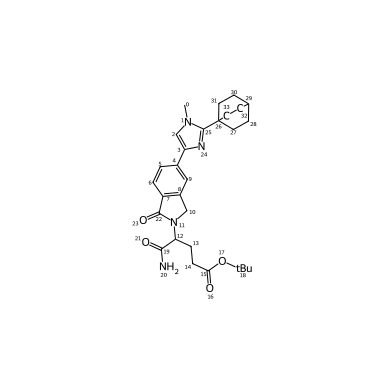 Cn1cc(-c2ccc3c(c2)CN(C(CCC(=O)OC(C)(C)C)C(N)=O)C3=O)nc1C12CCC(CC1)CC2